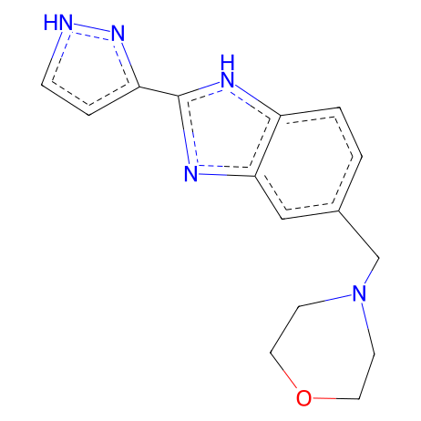 c1cc(-c2nc3cc(CN4CCOCC4)ccc3[nH]2)n[nH]1